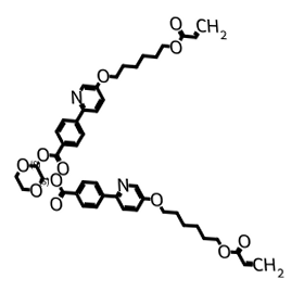 C=CC(=O)OCCCCCCOc1ccc(-c2ccc(C(=O)O[C@@H]3OCCO[C@H]3OC(=O)c3ccc(-c4ccc(OCCCCCCOC(=O)C=C)cn4)cc3)cc2)nc1